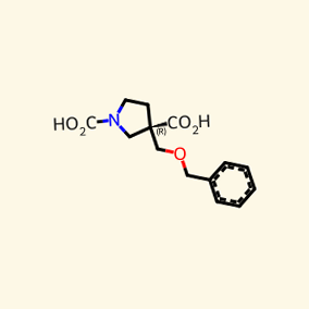 O=C(O)N1CC[C@@](COCc2ccccc2)(C(=O)O)C1